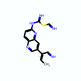 C/C=C(\C=N)c1cnc2ccc(NC(=N)SC=N)nc2c1